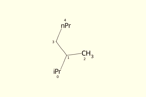 [CH2]C(C)C(C)CCCC